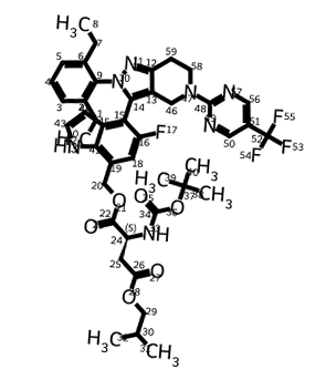 CCc1cccc(CC)c1-n1nc2c(c1-c1c(F)cc(COC(=O)[C@H](CC(=O)OCC(C)C)NC(=O)OC(C)(C)C)c3[nH]ccc13)CN(c1ncc(C(F)(F)F)cn1)CC2